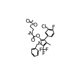 Cc1c(-c2ccc(F)c(Cl)c2)c(OC(=O)N(C)CCS(C)(=O)=O)n(Cc2ccccc2)c1C(F)(F)F